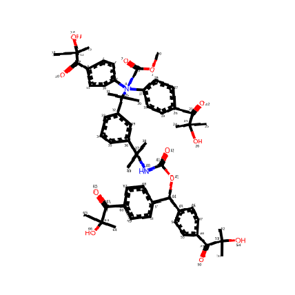 COC(=O)[N+](c1ccc(C(=O)C(C)(C)O)cc1)(c1ccc(C(=O)C(C)(C)O)cc1)C(C)(C)c1cccc(C(C)(C)NC(=O)OC(c2ccc(C(=O)C(C)(C)O)cc2)c2ccc(C(=O)C(C)(C)O)cc2)c1